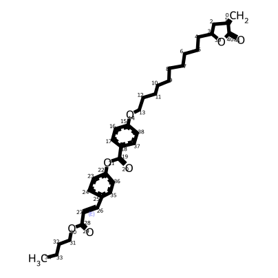 C=C1CC(CCCCCCCCCCOc2ccc(C(=O)Oc3ccc(/C=C/C(=O)OCCCC)cc3)cc2)OC1=O